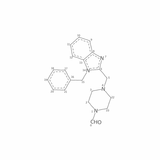 O=CN1CCN(Cc2nc3ccccc3n2Cc2ccccc2)CC1